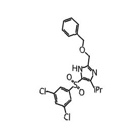 CC(C)c1nc(COCc2ccccc2)[nH]c1S(=O)(=O)c1cc(Cl)cc(Cl)c1